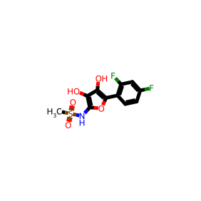 CS(=O)(=O)Nc1oc(-c2ccc(F)cc2F)c(O)c1O